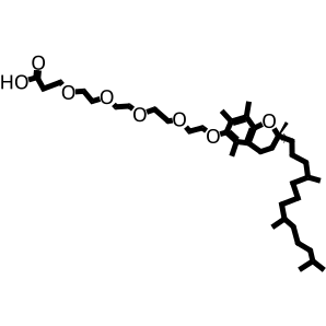 Cc1c(C)c2c(c(C)c1OCCOCCOCCOCCOCCC(=O)O)CC[C@@](C)(CCCC(C)CCCC(C)CCCC(C)C)O2